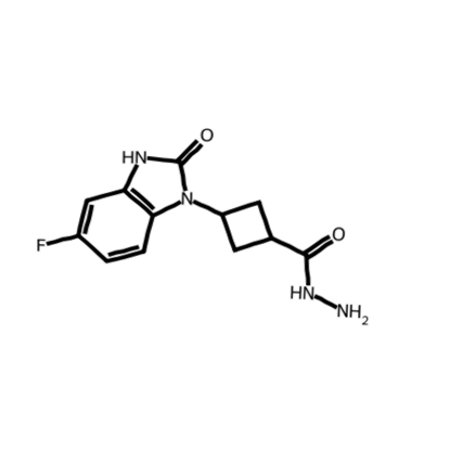 NNC(=O)C1CC(n2c(=O)[nH]c3cc(F)ccc32)C1